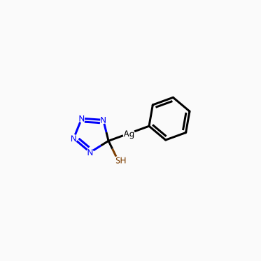 S[C]1([Ag][c]2ccccc2)N=NN=N1